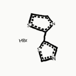 Br.c1csc(-c2cncs2)n1